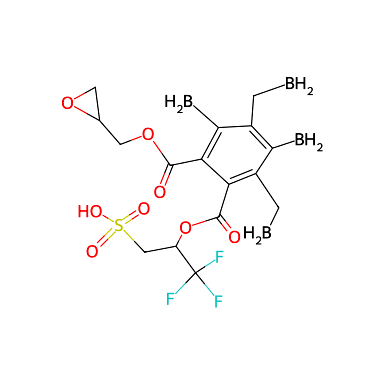 BCc1c(B)c(CB)c(C(=O)OC(CS(=O)(=O)O)C(F)(F)F)c(C(=O)OCC2CO2)c1B